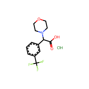 Cl.O=C(O)C(c1cccc(C(F)(F)F)c1)N1CCOCC1